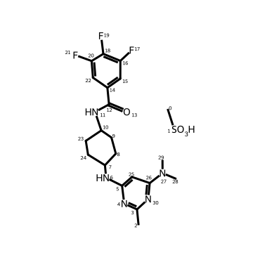 CS(=O)(=O)O.Cc1nc(NC2CCC(NC(=O)c3cc(F)c(F)c(F)c3)CC2)cc(N(C)C)n1